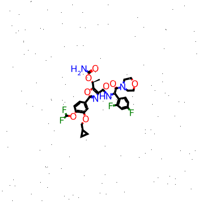 C[C@H](OC(N)=O)c1oc(-c2ccc(OC(F)F)c(OCC3CC3)c2)nc1C(=O)NC(C(=O)N1CCOCC1)c1ccc(F)cc1F